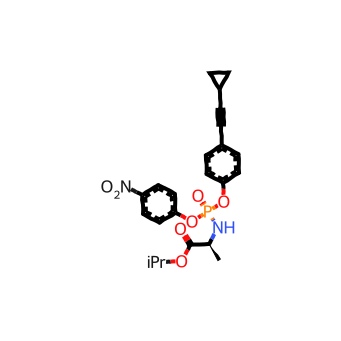 CC(C)OC(=O)[C@H](C)NP(=O)(Oc1ccc(C#CC2CC2)cc1)Oc1ccc([N+](=O)[O-])cc1